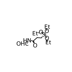 CCO[Si](CCC(=O)NC=O)(OCC)OCC